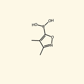 Cc1noc(B(O)O)c1C